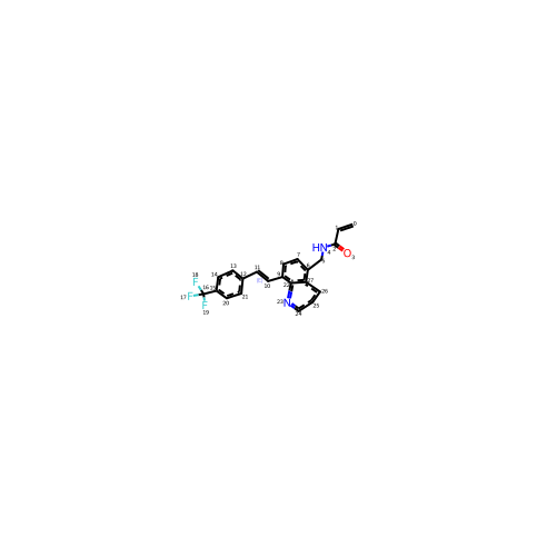 C=CC(=O)NCc1ccc(/C=C/c2ccc(C(F)(F)F)cc2)c2ncccc12